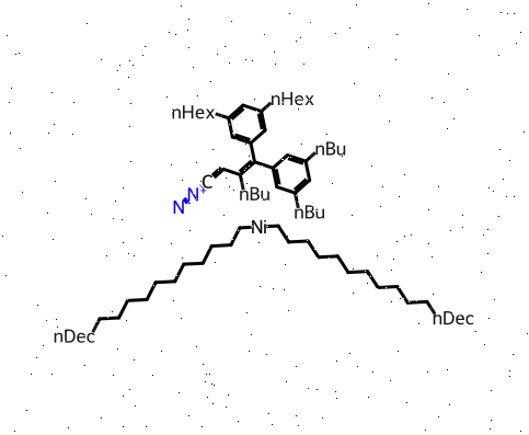 CCCCCCCCCCCCCCCCCCCC[CH2][Ni][CH2]CCCCCCCCCCCCCCCCCCCC.CCCCCCc1cc(CCCCCC)cc(C(=C(C=C=[N+]=[N-])CCCC)c2cc(CCCC)cc(CCCC)c2)c1